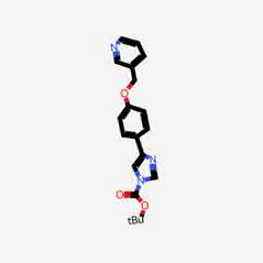 CC(C)(C)OC(=O)n1cnc(-c2ccc(OCc3cccnc3)cc2)c1